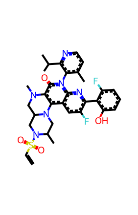 C=CS(=O)(=O)N1CC2CN(C)c3c(c4cc(F)c(-c5c(O)cccc5F)nc4n(-c4c(C)ccnc4C(C)C)c3=O)N2CC1C